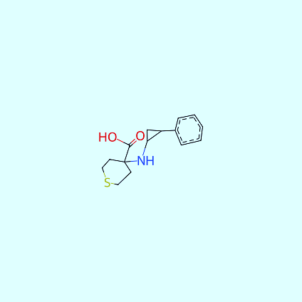 O=C(O)C1(NC2CC2c2ccccc2)CCSCC1